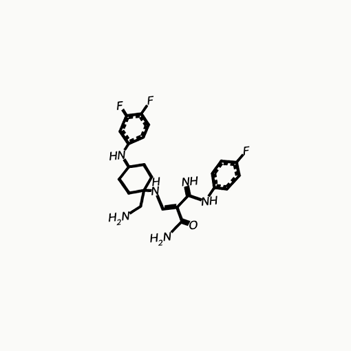 N=C(Nc1ccc(F)cc1)/C(=C\NC1(CN)CCC(Nc2ccc(F)c(F)c2)CC1)C(N)=O